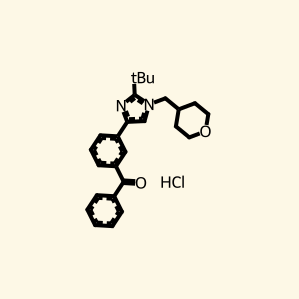 CC(C)(C)c1nc(-c2cccc(C(=O)c3ccccc3)c2)cn1CC1CCOCC1.Cl